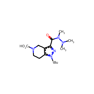 CN(C)N(C)C(=O)c1nn(C(C)(C)C)c2c1CN(C(=O)O)CC2